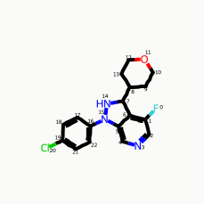 Fc1cncc2c1C(C1CCOCC1)NN2c1ccc(Cl)cc1